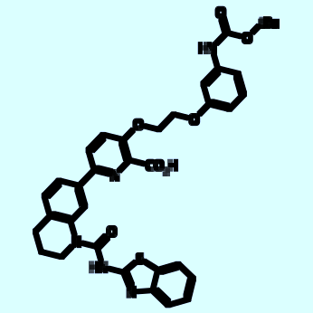 CC(C)(C)OC(=O)Nc1cccc(OCCOc2ccc(-c3ccc4c(c3)N(C(=O)Nc3nc5ccccc5s3)CCC4)nc2C(=O)O)c1